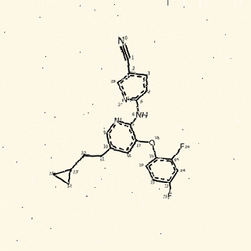 N#Cc1ccc(Nc2ncc(CCC3CC3)cc2Oc2ccc(F)cc2F)nc1